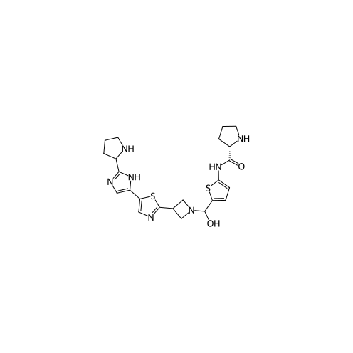 O=C(Nc1ccc(C(O)N2CC(c3ncc(-c4cnc(C5CCCN5)[nH]4)s3)C2)s1)[C@@H]1CCCN1